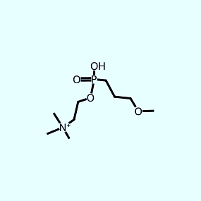 COCCCP(=O)(O)OCC[N+](C)(C)C